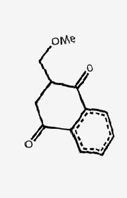 COCC1CC(=O)c2ccccc2C1=O